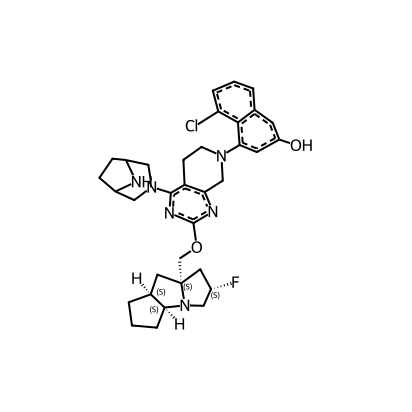 Oc1cc(N2CCc3c(nc(OC[C@]45C[C@H](F)CN4[C@H]4CCC[C@H]4C5)nc3N3CC4CCC(C3)N4)C2)c2c(Cl)cccc2c1